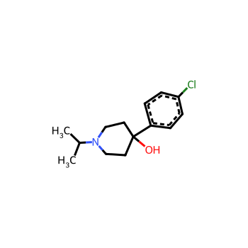 CC(C)N1CCC(O)(c2ccc(Cl)cc2)CC1